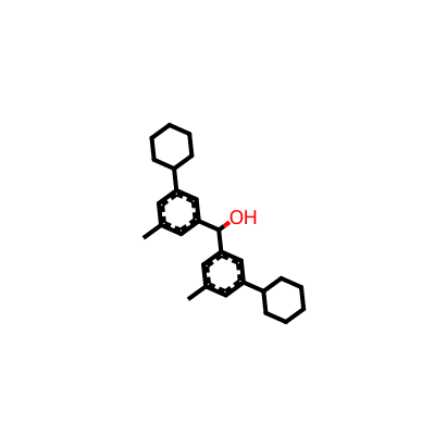 Cc1cc(C2CCCCC2)cc(C(O)c2cc(C)cc(C3CCCCC3)c2)c1